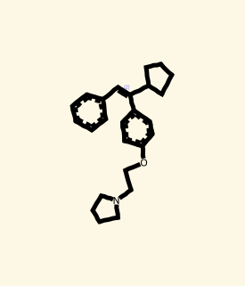 C(=C(/c1ccc(OCCN2CCCC2)cc1)C1CCCC1)/c1ccccc1